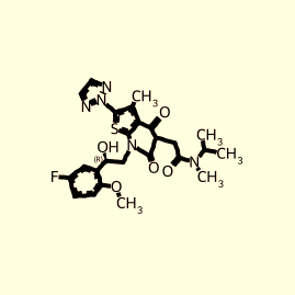 COc1ccc(F)cc1[C@@H](O)CN1C(=O)C(CC(=O)N(C)C(C)C)C(=O)c2c1sc(-n1nccn1)c2C